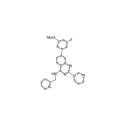 COc1cc(F)cc(-c2ccc3c(NCc4ccccn4)nc(-c4cccnc4)nc3c2)c1